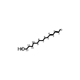 C/C=C/C=C/CCCCCCCCCO